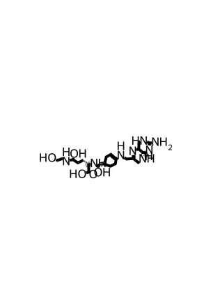 NC1=N[C@@H]2NCC(CNC3=CC[C@H](C(O)N[C@@H](CCC(O)NCCO)C(=O)O)CC3)=NC2CN1